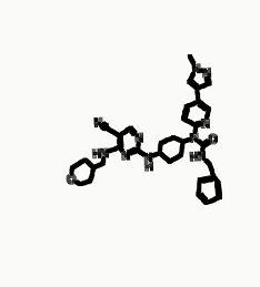 Cn1cc(-c2ccc(N(C(=O)NCc3ccccc3)C3CCC(Nc4ncc(C#N)c(NCC5CCOCC5)n4)CC3)nc2)cn1